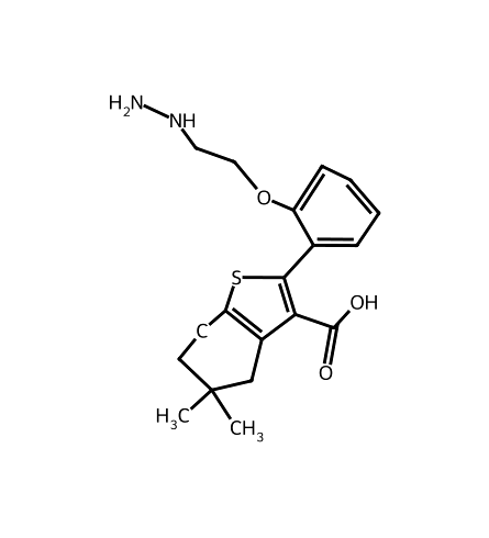 CC1(C)CCc2sc(-c3ccccc3OCCNN)c(C(=O)O)c2C1